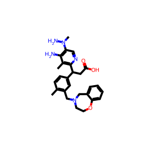 Cc1ccc(C(CC(=O)O)c2ncc(N(C)N)c(N)c2C)cc1CN1CCOc2ccccc2C1